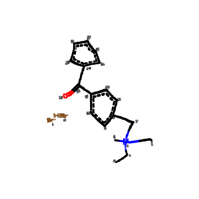 Br.[Br-].[CH2]C[N+](C)(C)Cc1ccc(C(=O)c2ccccc2)cc1